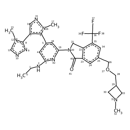 CCNc1cc(-c2c(-c3nncn3C)cnn2C)cc(N2Cc3c(cc(COCC4CN(C)C4)cc3C(F)(F)F)C2=O)n1